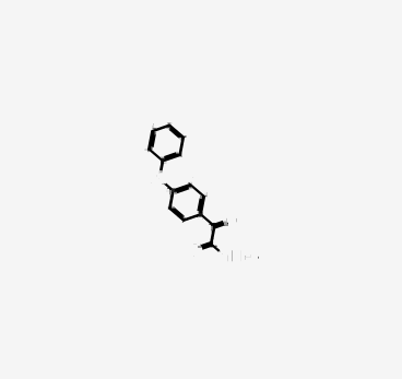 CCCCCCC(=O)C(=O)c1ccc(Sc2ccccc2)cc1